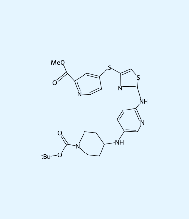 COC(=O)c1cc(Sc2csc(Nc3ccc(NC4CCN(C(=O)OC(C)(C)C)CC4)cn3)n2)ccn1